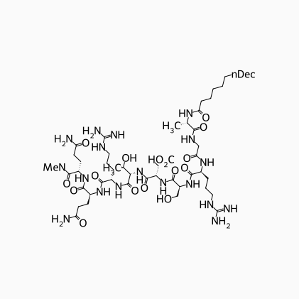 CCCCCCCCCCCCCCCC(=O)N[C@@H](C)C(=O)NCC(=O)N[C@@H](CCCNC(=N)N)C(=O)N[C@@H](CO)C(=O)N[C@@H](CC(=O)O)C(=O)N[C@H](C(=O)N[C@@H](CCCNC(=N)N)C(=O)N[C@@H](CCC(N)=O)C(=O)N[C@@H](CCC(N)=O)C(=O)NC)[C@@H](C)O